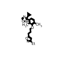 CCc1cc(CCCOc2c(C)ccc(C3(C4CC4)N=CON3)c2C)on1